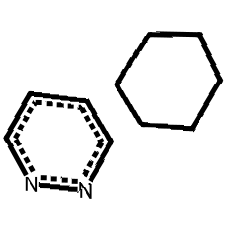 C1CCCCC1.c1ccnnc1